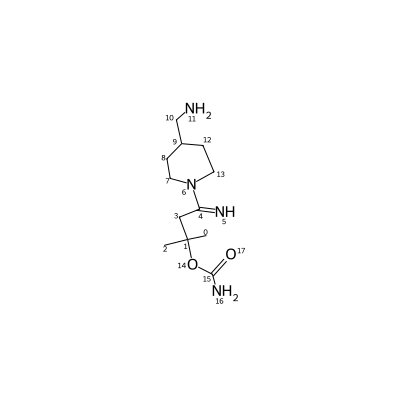 CC(C)(CC(=N)N1CCC(CN)CC1)OC(N)=O